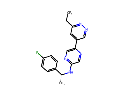 C[C@@H](Nc1cnc(-c2cnnc(CC(F)(F)F)c2)cn1)c1ccc(F)cc1